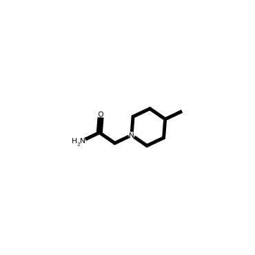 CC1CCN(CC(N)=O)CC1